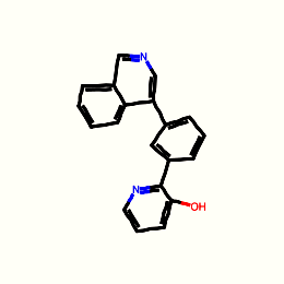 Oc1cccnc1-c1cccc(-c2cncc3ccccc23)c1